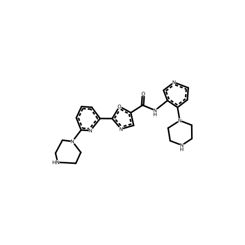 O=C(Nc1cnccc1N1CCNCC1)c1cnc(-c2cccc(N3CCNCC3)n2)o1